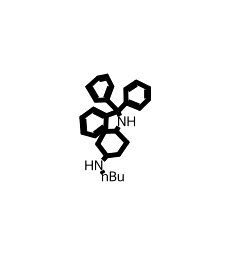 CCCCNC1CCC(NC(c2ccccc2)(c2ccccc2)c2ccccc2)CC1